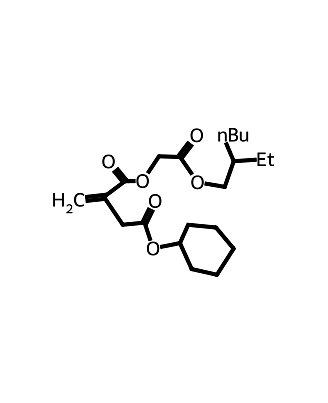 C=C(CC(=O)OC1CCCCC1)C(=O)OCC(=O)OCC(CC)CCCC